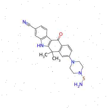 CC1(C)c2cc(N3CCN(SN)CC3)ccc2C(=O)c2c1[nH]c1cc(C#N)ccc21